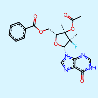 CC(=O)O[C@]1(C)[C@@H](COC(=O)c2ccccc2)O[C@@H](n2cnc3c(=O)[nH]cnc32)[C@]1(C)F